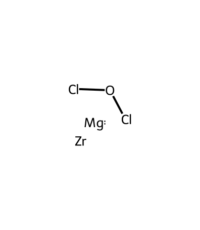 ClOCl.[Mg].[Zr]